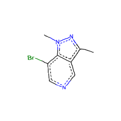 Cc1nn(C)c2c(Br)cncc12